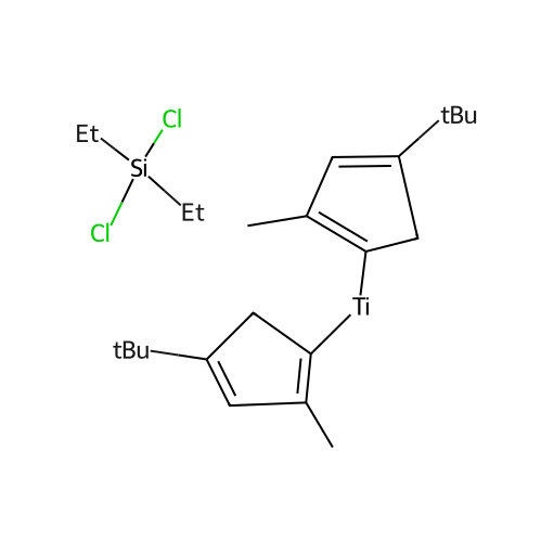 CC1=[C]([Ti][C]2=C(C)C=C(C(C)(C)C)C2)CC(C(C)(C)C)=C1.CC[Si](Cl)(Cl)CC